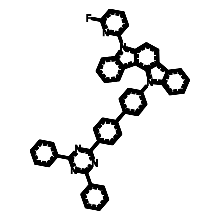 Fc1cccc(-n2c3ccccc3c3c2ccc2c4ccccc4n(-c4ccc(-c5ccc(-c6nc(-c7ccccc7)nc(-c7ccccc7)n6)cc5)cc4)c23)n1